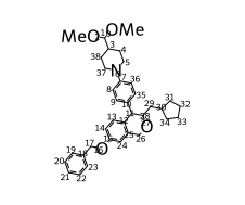 COC(OC)C1CCN(c2ccc(C3c4ccc(OCc5ccccc5)cc4COC3CC3CCCC3)cc2)CC1